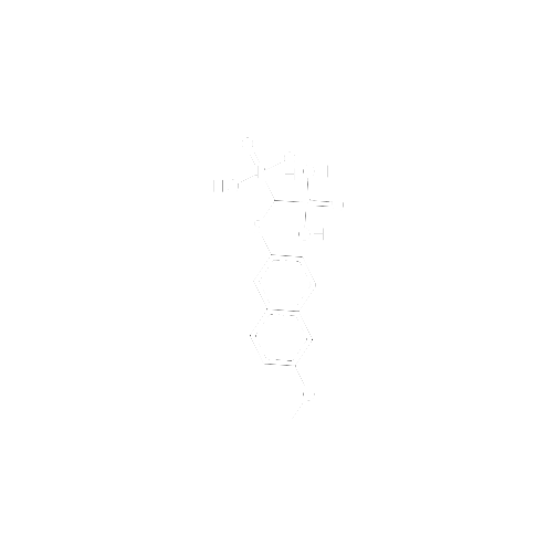 COc1ccc2cc(SC(P(=O)(O)O)P(=O)(O)O)ccc2c1